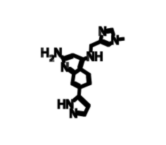 Cn1cnc(CNc2cc(N)nc3cc(-c4ccn[nH]4)ccc23)c1